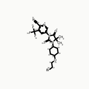 CC1(C)C(=O)N(c2cnc(C#N)c(C(F)(F)F)c2)C(=S)N1C1CCC(OCCBr)CC1